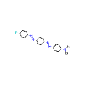 CCN(CC)c1ccc(/N=N/c2ccc(/N=N/c3ccc(F)cc3)cc2)cc1